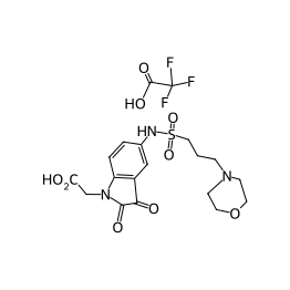 O=C(O)C(F)(F)F.O=C(O)CN1C(=O)C(=O)c2cc(NS(=O)(=O)CCCN3CCOCC3)ccc21